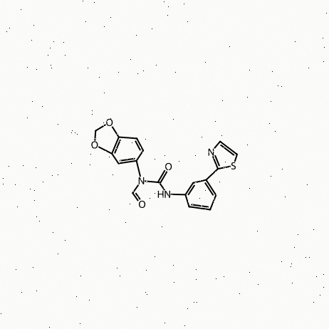 O=CN(C(=O)Nc1cccc(-c2nccs2)c1)c1ccc2c(c1)OCO2